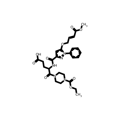 CCOC(=O)N1CCN(C(=O)C(CCC(=O)O)NC(=O)c2cc(OCC=CC(=O)OC)n(-c3ccccc3)n2)CC1